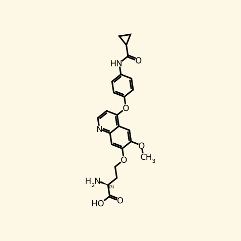 COc1cc2c(Oc3ccc(NC(=O)C4CC4)cc3)ccnc2cc1OCC[C@H](N)C(=O)O